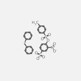 Cc1ccc(S(=O)(=O)Oc2ccc(S(=O)(=O)[O-])cc2[N+](=O)[O-])cc1.c1ccc([I+]c2ccccc2)cc1